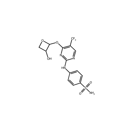 NS(=O)(=O)c1ccc(Nc2ncc(C(F)(F)F)c(OC3OCC3O)n2)cc1